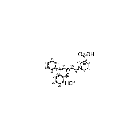 Cl.O=C(O)[C@@H]1CCCN(CCOC=C(c2ccccc2)c2ccccc2Cl)C1